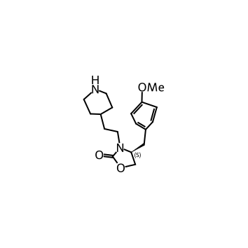 COc1ccc(C[C@H]2COC(=O)N2CCC2CCNCC2)cc1